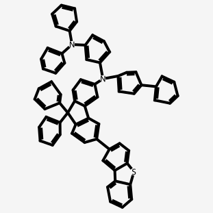 c1ccc(-c2ccc(N(c3cccc(N(c4ccccc4)c4ccccc4)c3)c3ccc4c(c3)-c3cc(-c5ccc6sc7ccccc7c6c5)ccc3C4(c3ccccc3)c3ccccc3)cc2)cc1